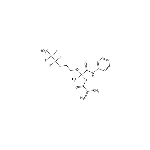 C=C(C)C(=O)OC(OCCCC(F)(F)C(F)(F)S(=O)(=O)O)(C(=O)Nc1ccccc1)C(F)(F)F